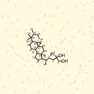 CC(C)C(O)(CO)CC[C@@H](C)[C@H]1CC[C@@]2(C)C3CCC4C(C)(C)[C@@H](C)CC[C@@]45C[C@@]35CC[C@]12C